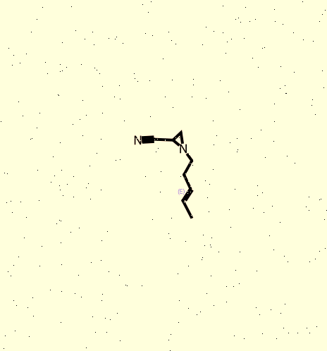 C/C=C/CCN1CC1C#N